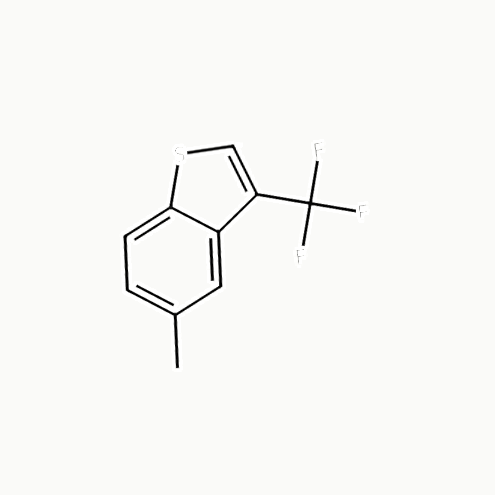 Cc1ccc2s[c]c(C(F)(F)F)c2c1